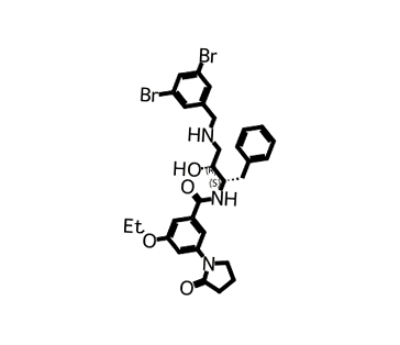 CCOc1cc(C(=O)N[C@@H](Cc2ccccc2)[C@H](O)CNCc2cc(Br)cc(Br)c2)cc(N2CCCC2=O)c1